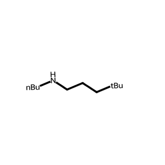 CCCCNCCCC(C)(C)C